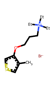 CC[N+](CC)(CC)CCCOc1cscc1C.[Br-]